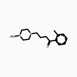 CCCCN1CCN(CCCC(=O)c2ccccc2C)CC1